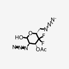 CC(=O)O[C@@H]1[C@@H](N=[N+]=[N-])C(O)O[C@H](CN=[N+]=[N-])C1(F)F